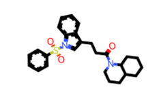 O=C(CCc1cn(S(=O)(=O)c2ccccc2)c2ccccc12)N1CCCC2CCCCC21